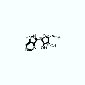 OC[C@H]1O[C@@H](c2n[nH]c3cncnc23)C(O)[C@@H]1O